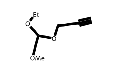 C#CCOC(OC)OCC